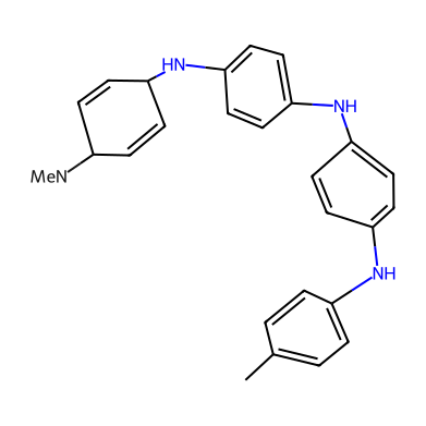 CNC1C=CC(Nc2ccc(Nc3ccc(Nc4ccc(C)cc4)cc3)cc2)C=C1